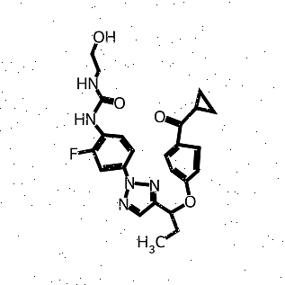 CCC(Oc1ccc(C(=O)C2CC2)cc1)c1cnn(-c2ccc(NC(=O)NCCO)c(F)c2)n1